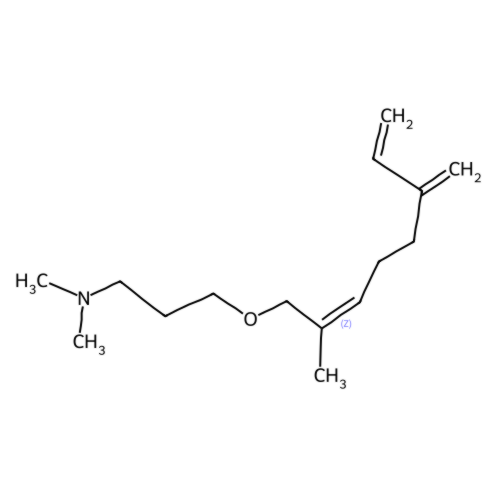 C=CC(=C)CC/C=C(/C)COCCCN(C)C